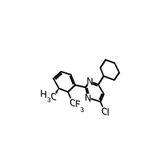 C[C@H]1C=CC=C(c2nc(Cl)cc(C3CCCCC3)n2)C1C(F)(F)F